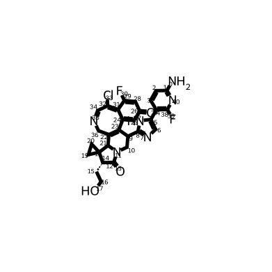 Nc1ccc(-c2cnc(C3CN4C(=O)[C@H](CCO)C5(CC5)C4C4=C3C3=CC(=O)C=C(F)C3=C(Cl)C=NC4)[nH]2)c(F)n1